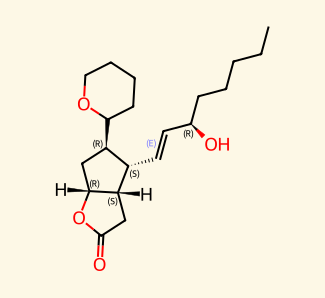 CCCCC[C@@H](O)/C=C/[C@@H]1[C@@H]2CC(=O)O[C@@H]2C[C@H]1C1CCCCO1